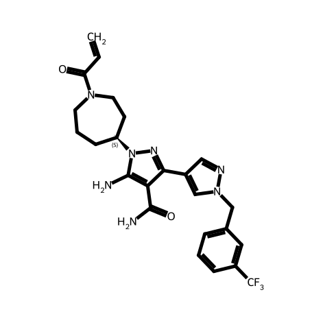 C=CC(=O)N1CCC[C@H](n2nc(-c3cnn(Cc4cccc(C(F)(F)F)c4)c3)c(C(N)=O)c2N)CC1